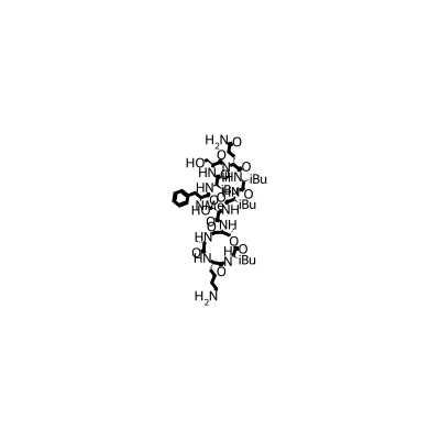 CC[C@H](C)[C@H](NC(=O)[C@@H](Cc1ccccc1)NC)C(=O)N[C@@H](CO)C(=O)N[C@H](CCC(N)=O)C(=O)N[C@@H](C(=O)N[C@H](C(=O)N[C@@H](CO)C(=O)N[C@H]1C(=O)N[C@@H](C)C(=O)N[C@@H](CCCCN)C(=O)N[C@@H]([C@@H](C)CC)C(=O)O[C@H]1C)[C@@H](C)CC)[C@@H](C)CC